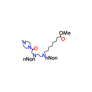 CCCCCCCCCN(CCCCCCCC(=O)OC)CCN(CCCCCCCCC)CC(=O)N1CCN(C)CC1